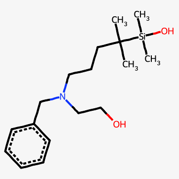 CC(C)(CCCN(CCO)Cc1ccccc1)[Si](C)(C)O